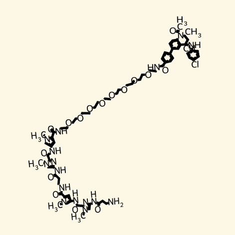 CC(=O)N1c2ccc(-c3ccc(C(=O)NCCOCCOCCOCCOCCOCCOCCOCCOCCNC(=O)c4cc(NC(=O)c5nc(NC(=O)CCNC(=O)c6cc(NC(=O)c7nc(NC(=O)CCN)cn7C)cn6C)cn5C)cn4C)cc3)cc2[C@@](C)(Nc2ccc(Cl)cc2)C[C@@H]1C